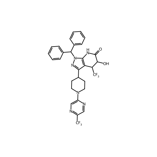 O=C1Nc2c(c(C3CCN(c4cnc(C(F)(F)F)cn4)CC3)nn2C(c2ccccc2)c2ccccc2)C(C(F)(F)F)C1O